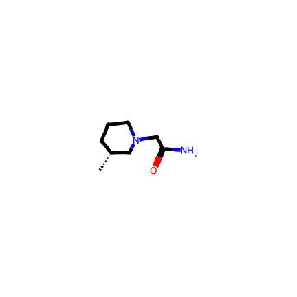 C[C@@H]1CCCN(CC(N)=O)C1